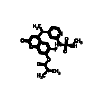 CNS(=O)(=O)Nc1cc(C(C)c2cc(=O)oc3cc(OC(=O)N(C)C)c(F)cc23)ccn1